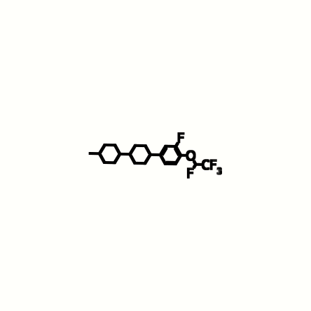 CC1CCC(C2CCC(c3ccc(OC(F)C(F)(F)F)c(F)c3)CC2)CC1